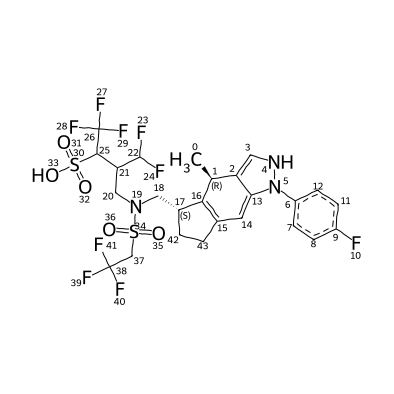 C[C@H]1C2=CNN(c3ccc(F)cc3)C2=CC2=C1[C@@H](CN(CC(C(F)F)C(C(F)(F)F)S(=O)(=O)O)S(=O)(=O)CC(F)(F)F)CC2